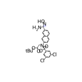 CC(C)(C)OC(=O)CN(c1ccc2ccc(/C(N)=N/O)cc2c1)S(=O)(=O)c1cc(Cl)cc(Cl)c1